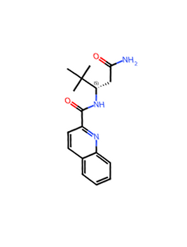 CC(C)(C)[C@H](CC(N)=O)NC(=O)c1ccc2ccccc2n1